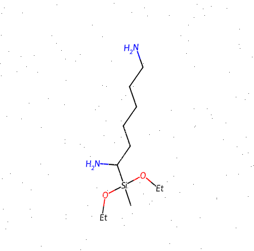 CCO[Si](C)(OCC)C(N)CCCCCN